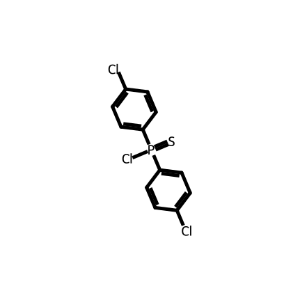 S=P(Cl)(c1ccc(Cl)cc1)c1ccc(Cl)cc1